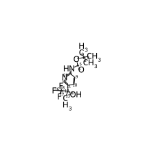 CC(C)(C)OC(=O)Nc1ccc(C(C)(O)C(F)(F)F)cn1